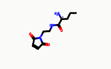 CCC[C@H](N)C(=O)NCCN1C(=O)C=CC1=O